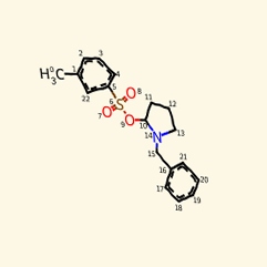 Cc1cccc(S(=O)(=O)OC2CCCN2Cc2ccccc2)c1